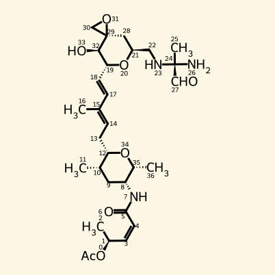 CC(=O)O[C@@H](C)/C=C\C(=O)N[C@@H]1C[C@H](C)[C@H](C/C=C(C)/C=C/[C@H]2O[C@H](CN[C@](C)(N)C=O)C[C@@]3(CO3)[C@@H]2O)O[C@@H]1C